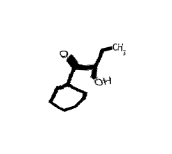 CCC(O)C(=O)C1CCCCC1